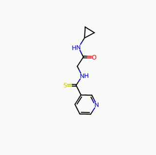 O=C(CNC(=S)c1cccnc1)NC1CC1